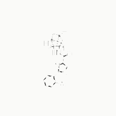 CC(=O)c1ccccc1-c1nc(C(=O)N[C@@H]2C[C@@H]3C[C@H]([C@H]2C)C3(C)C)cs1